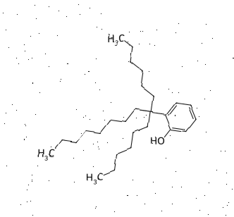 CCCCCCCCC(CCCCCC)(CCCCCC)c1ccccc1O